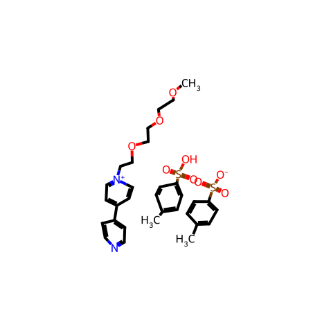 COCCOCCOCC[n+]1ccc(-c2ccncc2)cc1.Cc1ccc(S(=O)(=O)O)cc1.Cc1ccc(S(=O)(=O)[O-])cc1